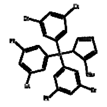 CCc1cc(CC)cc([Si]([C]2C=CC=C2C(C)(C)C)(c2cc(CC)cc(CC)c2)c2cc(CC)cc(CC)c2)c1